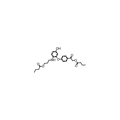 CCCC(=O)OCCCNc1ccc(O)cc1Oc1ccc(C(=O)COC(=O)CCC)cc1